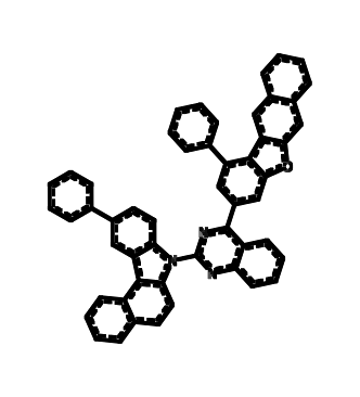 c1ccc(-c2ccc3c(c2)c2c4ccccc4ccc2n3-c2nc(-c3cc(-c4ccccc4)c4c(c3)oc3cc5ccccc5cc34)c3ccccc3n2)cc1